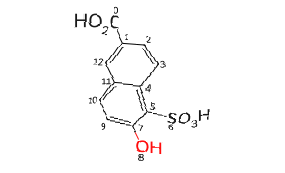 O=C(O)c1ccc2c(S(=O)(=O)O)c(O)ccc2c1